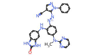 CN(c1ccc(/N=N/c2c(C#N)cnn2-c2ccccc2)c(Nc2ccc3[nH]c(=O)[nH]c3c2)c1)c1ncccn1